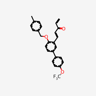 C=CC(=O)/C=C/c1cc(-c2ccc(OC(F)(F)F)cc2)ccc1OCc1ccc(C)cc1